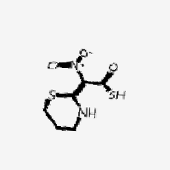 O=C(S)/C(=C1\NCCCS1)[N+](=O)[O-]